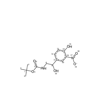 CC(C)(C)OC(=O)NCC(O)c1ccc(O)c([N+](=O)[O-])c1